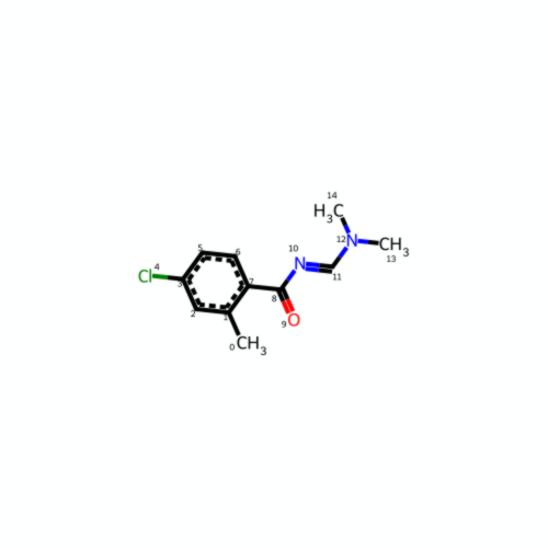 Cc1cc(Cl)ccc1C(=O)/N=C/N(C)C